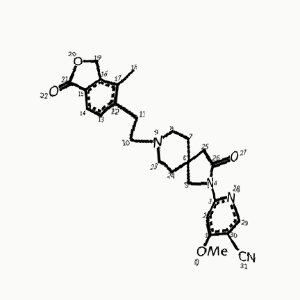 COc1cc(N2CC3(CCN(CCc4ccc5c(c4C)COC5=O)CC3)CC2=O)ncc1C#N